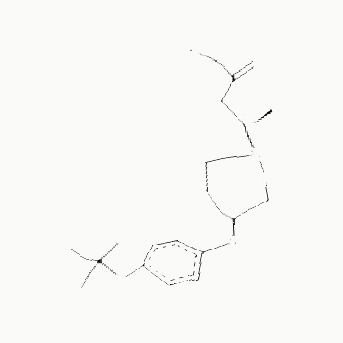 C[C@H](CC(N)=O)N1CCC(Nc2ccc(OC(F)(F)F)cc2)CC1